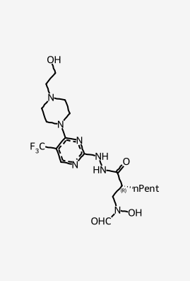 CCCCC[C@H](CN(O)C=O)C(=O)NNc1ncc(C(F)(F)F)c(N2CCN(CCO)CC2)n1